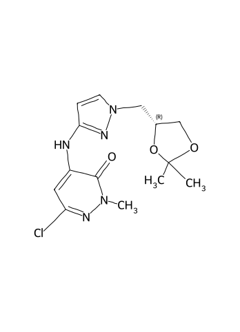 Cn1nc(Cl)cc(Nc2ccn(C[C@@H]3COC(C)(C)O3)n2)c1=O